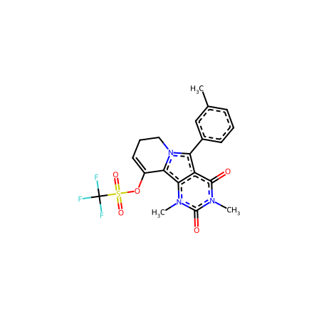 Cc1cccc(-c2c3c(=O)n(C)c(=O)n(C)c3c3n2CCC=C3OS(=O)(=O)C(F)(F)F)c1